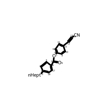 CCCCCCCc1ccc(C(=O)Oc2ccc(C#CC#N)cc2)cc1